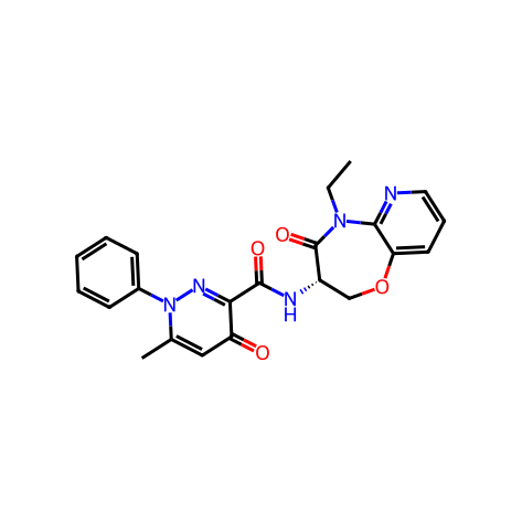 CCN1C(=O)[C@@H](NC(=O)c2nn(-c3ccccc3)c(C)cc2=O)COc2cccnc21